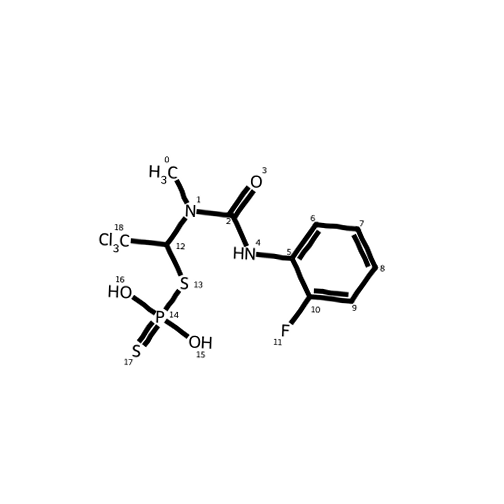 CN(C(=O)Nc1ccccc1F)C(SP(O)(O)=S)C(Cl)(Cl)Cl